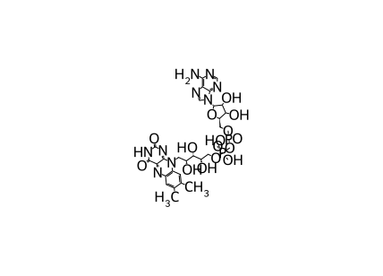 Cc1cc2nc3c(=O)[nH]c(=O)nc-3n(C[C@H](O)[C@H](O)[C@H](O)COP(=O)(O)OP(=O)(O)OC[C@H]3O[C@H](n4cnc5c(N)ncnc54)C(O)C3O)c2cc1C